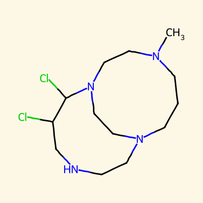 CN1CCCN2CCNCC(Cl)C(Cl)N(CC1)CC2